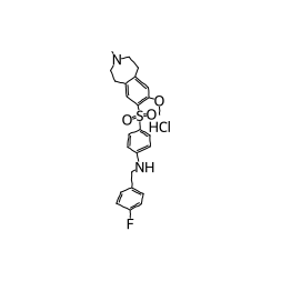 COc1cc2c(cc1S(=O)(=O)c1ccc(NCc3ccc(F)cc3)cc1)CCN(C)CC2.Cl